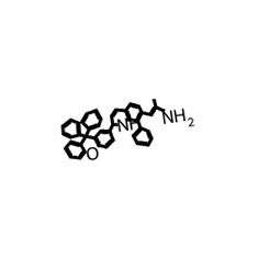 C/C(=C\c1ccc2c(c1-c1ccccc1)NC(c1ccc3c(c1)C(c1ccccc1)(c1ccccc1)c1ccccc1O3)C=C2)CN